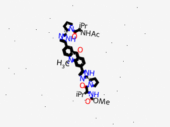 COC(=O)NC(C(=O)N1CCC[C@H]1c1ncc(-c2ccc3c(=O)c4cc(-c5cnc([C@@H]6CCCN6C(=O)C(NC(C)=O)C(C)C)[nH]5)ccc4n(C)c3c2)[nH]1)C(C)C